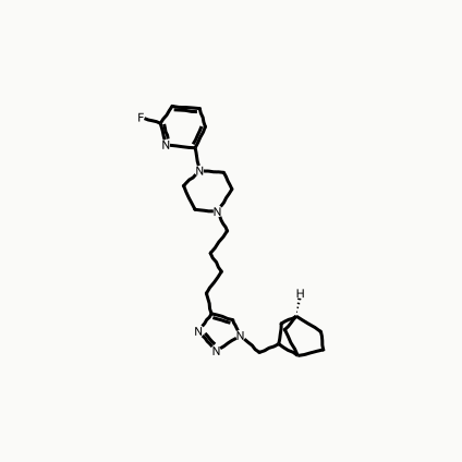 Fc1cccc(N2CCN(CCCCc3cn(CC4C[C@H]5CCC4C5)nn3)CC2)n1